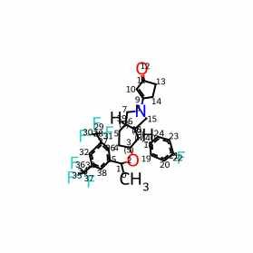 CC(O[C@H]1CC[C@@H]2CN(C3=CC(=O)CC3)C[C@H]2[C@@H]1c1ccc(F)cc1)c1cc(C(F)(F)F)cc(C(F)(F)F)c1